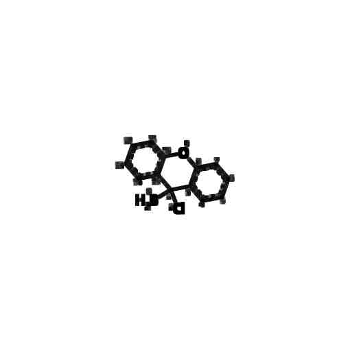 BC1(Cl)c2ccccc2Oc2ccccc21